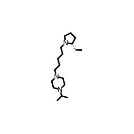 CC[C@H]1CCCN1CCCCCN1CCN(C(C)C)CC1